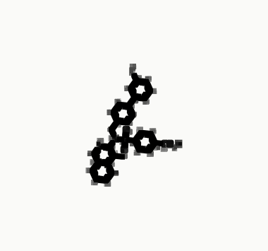 Cc1c(N(Cc2ccc(-c3cccc(F)c3)cc2)S(=O)(=O)c2ccc(C(=O)O)cc2)ncc2ccccc12